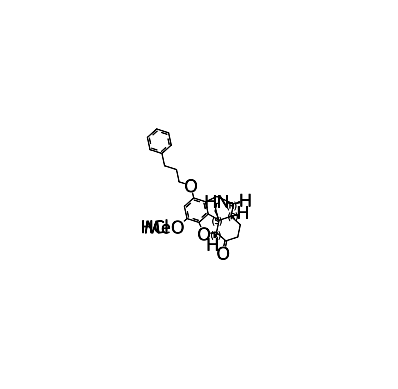 COc1cc(OCCCc2ccccc2)c2c3c1O[C@H]1C(=O)CC[C@H]4[C@@H](C2)NCC[C@]314.Cl